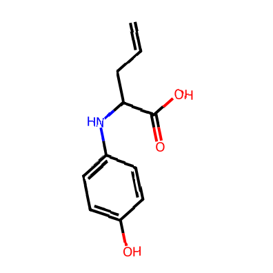 C=CCC(Nc1ccc(O)cc1)C(=O)O